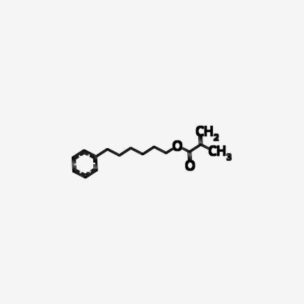 C=C(C)C(=O)OCCCCCCc1ccccc1